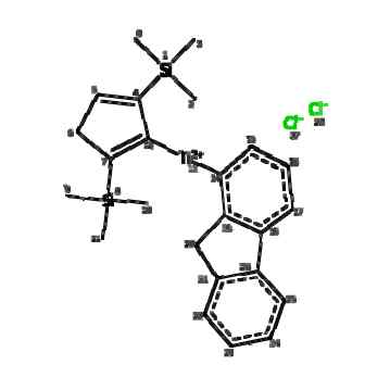 C[Si](C)(C)C1=CCC([Si](C)(C)C)=[C]1[Ti+2][c]1cccc2c1Cc1ccccc1-2.[Cl-].[Cl-]